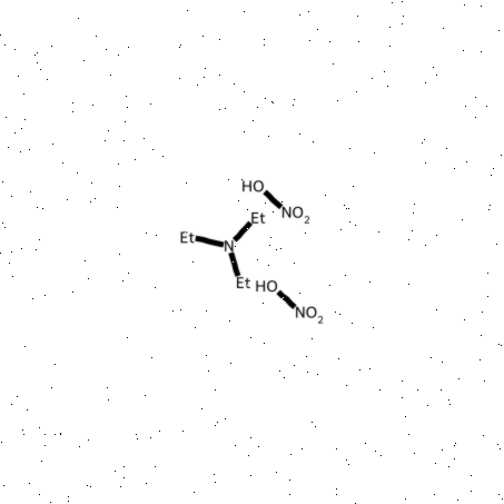 CCN(CC)CC.O=[N+]([O-])O.O=[N+]([O-])O